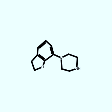 c1cc2c(c(N3CCNCC3)c1)OCC2